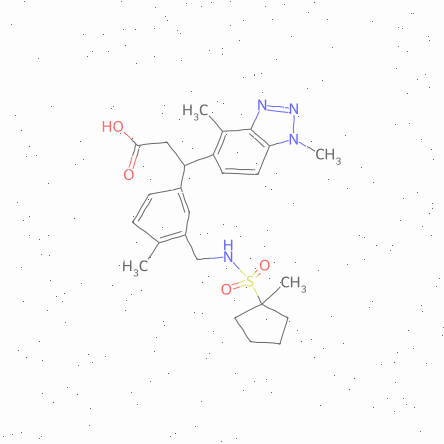 Cc1ccc(C(CC(=O)O)c2ccc3c(nnn3C)c2C)cc1CNS(=O)(=O)C1(C)CCCC1